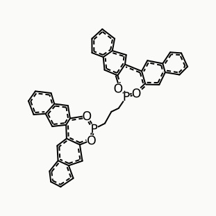 c1ccc2cc3c(cc2c1)op(CCCp1oc2cc4ccccc4cc2c2cc4ccccc4cc2o1)oc1cc2ccccc2cc13